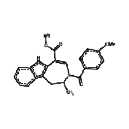 CCCOC(=O)C1=CN(C(=O)c2ccc(OC)cc2)C(C)Cc2c1[nH]c1ccccc21